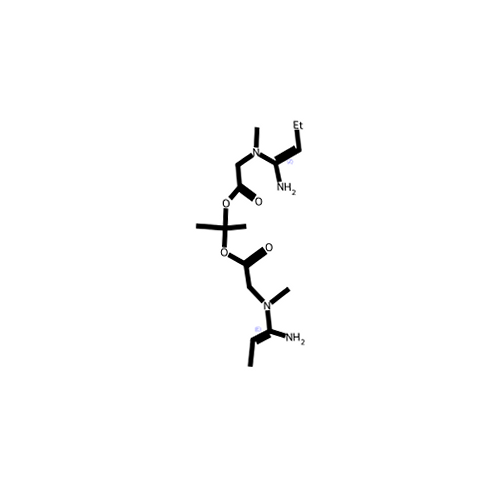 C/C=C(\N)N(C)CC(=O)OC(C)(C)OC(=O)CN(C)/C(N)=C\CC